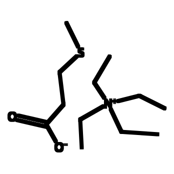 CC[N+](CC)(CC)CC.CSCCC(=O)[O-]